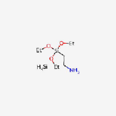 CCO[Si](CCN)(OCC)OCC.[SiH4]